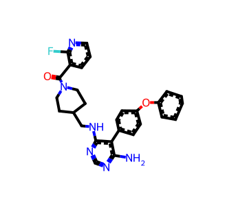 Nc1ncnc(NCC2CCN(C(=O)c3cccnc3F)CC2)c1-c1ccc(Oc2ccccc2)cc1